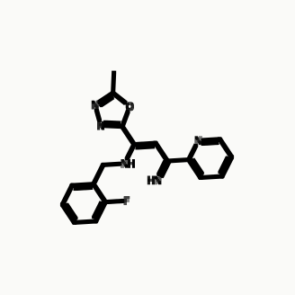 Cc1nnc(/C(=C/C(=N)c2ccccn2)NCc2ccccc2F)o1